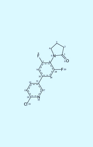 O=C1CCCN1c1c(F)cc(-c2ccc(Cl)nc2)cc1F